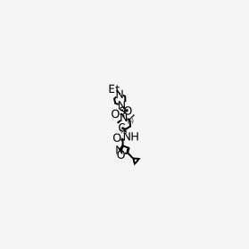 CCN1CCN(S(=O)(=O)N2CC[C@H](NC(=O)c3cc(C4CC4)on3)C[C@@H]2C)CC1